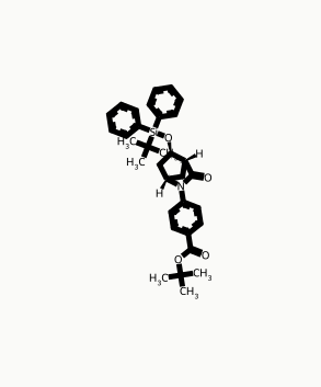 CC(C)(C)OC(=O)c1ccc(N2C(=O)[C@@H]3C[C@H]2C[C@H]3O[Si](c2ccccc2)(c2ccccc2)C(C)(C)C)cc1